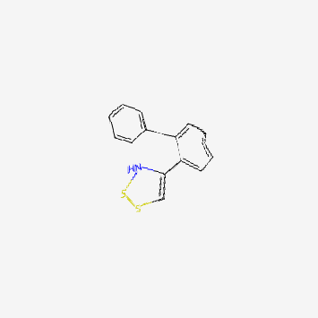 C1=C(c2ccccc2-c2ccccc2)NSS1